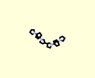 C1CCN(C23CCC(N4CCC(C5CCN(C67CCC(N8CCCC8)(CC6)C7)C5)C4)(CC2)C3)C1